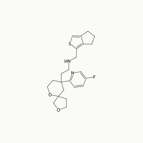 Fc1ccc(C2(CCNCc3scc4c3CCC4)CCOC3(CCOC3)C2)nc1